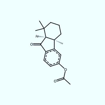 CC(=O)Oc1ccc2c(c1)[C@]1(C)CCCC(C)(C)[C@@H]1C2=O